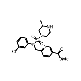 COC(=O)c1ccc(CN(c2cccc(Cl)c2)S(=O)(=O)N2CCN[C@H](C)C2)nc1